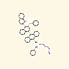 C=C/C=C\C=C\c1nc(-c2ccccc2)nc(-c2c3ccccc3c(-c3cc(Cc4ccccc4)c(-c4ccc5ccccc5c4N)c4ccccc34)c3ccccc23)n1